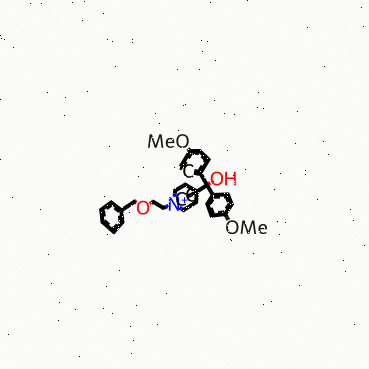 COc1ccc(C(O)(c2ccc(OC)cc2)C23CC[N+](CCOCc4ccccc4)(CC2)CC3)cc1